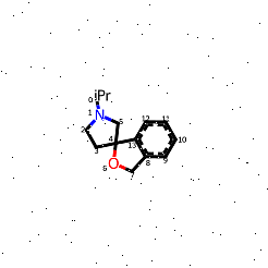 CC(C)N1CCC2(C1)OCc1ccccc12